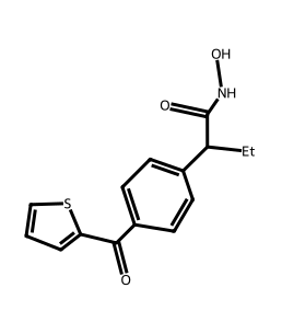 CCC(C(=O)NO)c1ccc(C(=O)c2cccs2)cc1